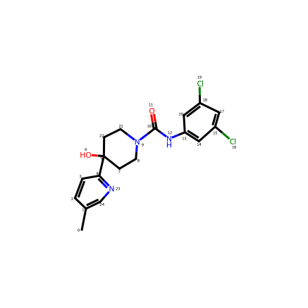 Cc1ccc(C2(O)CCN(C(=O)Nc3cc(Cl)cc(Cl)c3)CC2)nc1